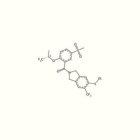 CCSc1cc2c(cc1C(F)(F)F)CN(C(=O)c1cc(S(C)(=O)=O)ccc1O[C@@H](C)C(F)(F)F)C2